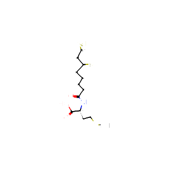 CSCC[C@H](NC(=O)CCCCC(S)CCS)C(=O)O